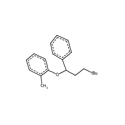 Cc1ccccc1OC(CCC(C)(C)C)c1ccccc1